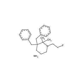 CC1(C)N(CCF)CCCC1(Cc1ccccc1)Cc1ccccc1.N